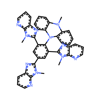 CN1c2ccccc2N(c2c(-c3nc4cccnc4n3C)cc(-c3nc4cccnc4n3C)cc2-c2nc3cccnc3n2C)c2ccccc21